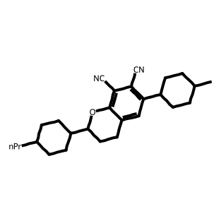 CCCC1CCC(C2CCc3cc(C4CCC(C)CC4)c(C#N)c(C#N)c3O2)CC1